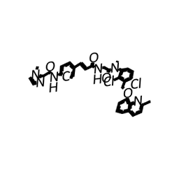 Cc1ccc2cccc(OCc3c(Cl)ccc(N(C)C(=O)CNC(=O)C=Cc4ccc(NC(=O)c5nccn5C)cc4)c3Cl)c2n1